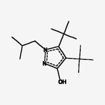 CC(C)Cn1nc(O)c(C(C)(C)C)c1C(C)(C)C